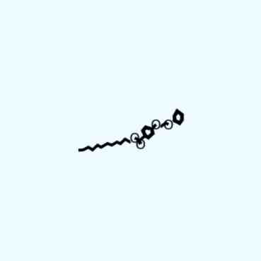 CCCCCCCCCCCCOC(=O)c1ccc(OCCOc2ccccc2)cc1